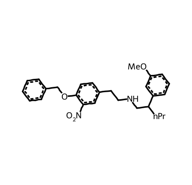 CCCC(CNCCc1ccc(OCc2ccccc2)c([N+](=O)[O-])c1)c1cccc(OC)c1